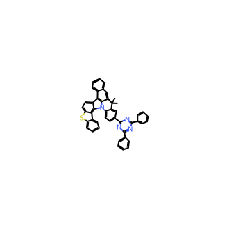 CC1(C)c2cc(-c3nc(-c4ccccc4)nc(-c4ccccc4)n3)ccc2-n2c3c1cc1ccccc1c3c1ccc3sc4ccccc4c3c12